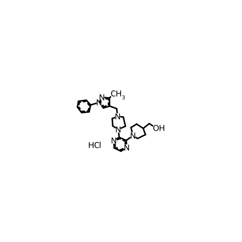 Cc1nn(-c2ccccc2)cc1CN1CCN(c2nccnc2N2CCC(CO)CC2)CC1.Cl